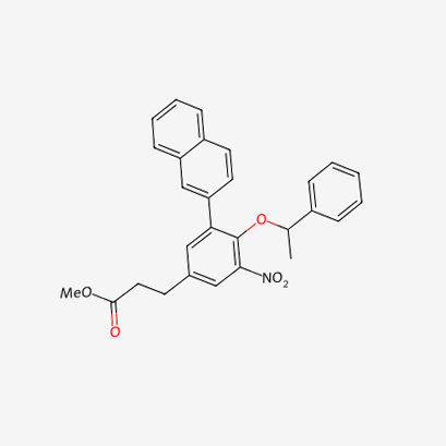 COC(=O)CCc1cc(-c2ccc3ccccc3c2)c(OC(C)c2ccccc2)c([N+](=O)[O-])c1